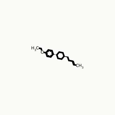 CC=CCC[C@H]1CC[C@H](c2ccc(OCC)cc2)CC1